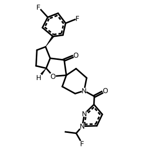 CC(F)n1ccc(C(=O)N2CCC3(CC2)O[C@@H]2CC[C@@H](c4cc(F)cc(F)c4)C2C3=O)n1